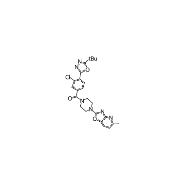 Cc1ccc2oc(N3CCN(C(=O)c4ccc(-c5nnc(C(C)(C)C)o5)c(Cl)c4)CC3)nc2n1